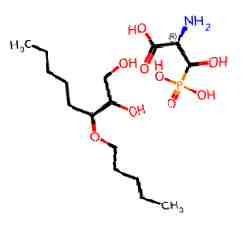 CCCCCOC(CCCCC)C(O)CO.N[C@H](C(=O)O)C(O)P(=O)(O)O